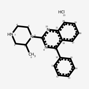 CC1CNCCN1c1nc(-c2ccccc2)c2ccccc2n1.Cl